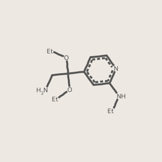 CCNc1cc(C(CN)(OCC)OCC)ccn1